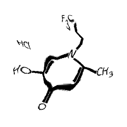 Cc1cc(=O)c(O)cn1CC(F)(F)F.Cl